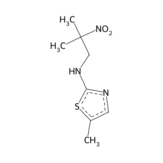 Cc1cnc(NCC(C)(C)[N+](=O)[O-])s1